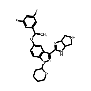 CC(Oc1ccc2c(c1)c(C1=NC3CNCC3N1)nn2C1CCCCO1)c1cc(F)cc(F)c1